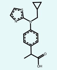 CC(C(=O)O)c1ccc(N(CC2CC2)c2nccs2)cc1